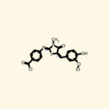 CCOc1cc(/C=C2/S/C(=N\c3ccc(C(=O)Cl)cc3)N(C)C2=O)ccc1O